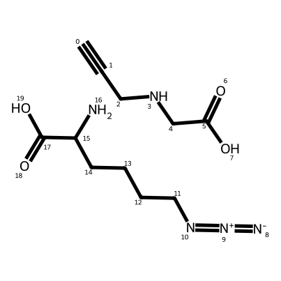 C#CCNCC(=O)O.[N-]=[N+]=NCCCCC(N)C(=O)O